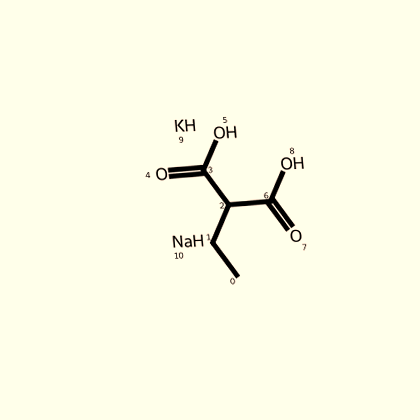 CCC(C(=O)O)C(=O)O.[KH].[NaH]